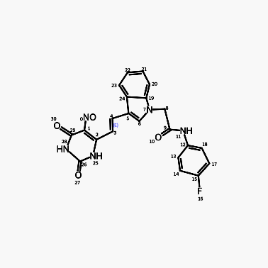 O=Nc1c(/C=C/c2cn(CC(=O)Nc3ccc(F)cc3)c3ccccc23)[nH]c(=O)[nH]c1=O